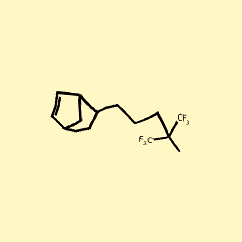 CC(CCCC1CC2C=CC1C2)(C(F)(F)F)C(F)(F)F